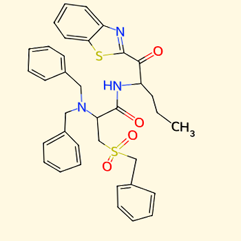 CCCC(NC(=O)C(CS(=O)(=O)Cc1ccccc1)N(Cc1ccccc1)Cc1ccccc1)C(=O)c1nc2ccccc2s1